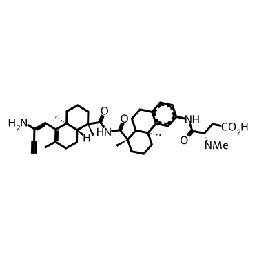 C#C/C(N)=C\C1=C(C)CC[C@H]2[C@@](C)(C(=O)NC(=O)[C@@]3(C)CCC[C@]4(C)c5cc(NC(=O)[C@H](CC(=O)O)NC)ccc5CCC34)CCC[C@]12C